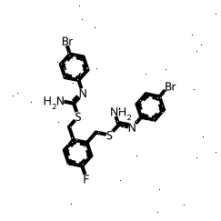 N/C(=N\c1ccc(Br)cc1)SCc1ccc(F)cc1CS/C(N)=N/c1ccc(Br)cc1